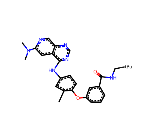 Cc1cc(Nc2ncnc3cnc(N(C)C)cc23)ccc1Oc1cccc(C(=O)NCC(C)(C)C)c1